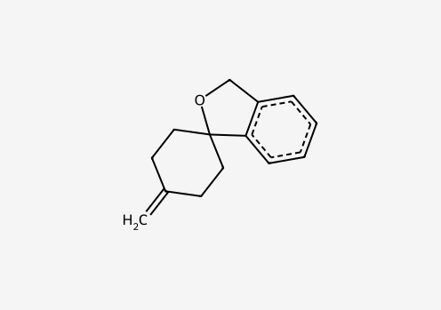 C=C1CCC2(CC1)OCc1ccccc12